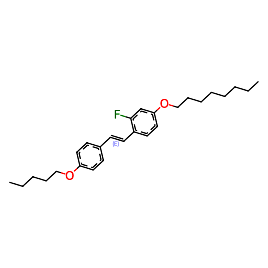 CCCCCCCCOc1ccc(/C=C/c2ccc(OCCCCC)cc2)c(F)c1